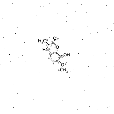 COc1ccc(N[C@@H](C)C(=O)O)cc1O